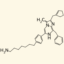 C=c1c(CC2=CCCC2)nc2n1C=C(c1ccc(CCCCCCCN)cc1)NC=2Cc1ccccc1